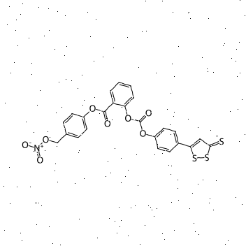 O=C(Oc1ccc(-c2cc(=S)ss2)cc1)Oc1ccccc1C(=O)Oc1ccc(CO[N+](=O)[O-])cc1